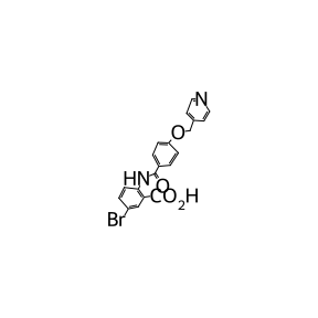 O=C(Nc1ccc(Br)cc1C(=O)O)c1ccc(OCc2ccncc2)cc1